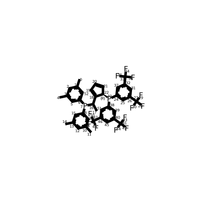 Cc1cc(C)cc(P(c2cc(C)cc(C)c2)C(C)C2=CC=C[C@H]2P(c2cc(C(F)(F)F)cc(C(F)(F)F)c2)c2cc(C(F)(F)F)cc(C(F)(F)F)c2)c1